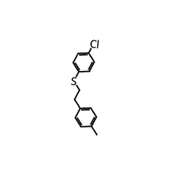 Cc1ccc(CCSc2ccc(Cl)cc2)cc1